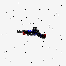 CNC(=O)c1ccc(NCC#Cc2cc3c(NC4CCC(N5CC6(CCCOC6)C5)CC4)cccc3n2CC(F)(F)F)c(OC)c1